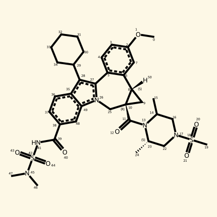 COc1ccc2c(c1)[C@@H]1C[C@]1(C(=O)N1C(C)CN(S(C)(=O)=O)C[C@@H]1C)Cn1c-2c(C2CCCCC2)c2ccc(C(=O)NS(=O)(=O)N(C)C)cc21